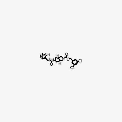 O=C(NCc1cnn[nH]1)[C@H]1C[C@@H]2CN(C(=O)OCc3cc(Cl)cc(Cl)c3)C[C@@H]2C1